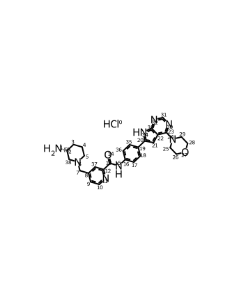 Cl.N[C@@H]1CCCN(Cc2ccnc(C(=O)Nc3ccc(-c4cc5c(N6CCOCC6)ncnc5[nH]4)cc3)c2)C1